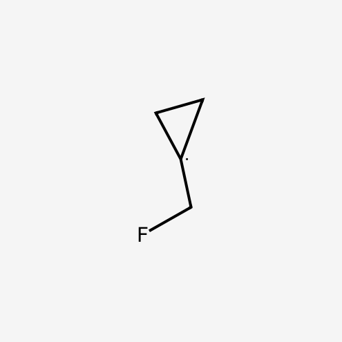 FC[C]1CC1